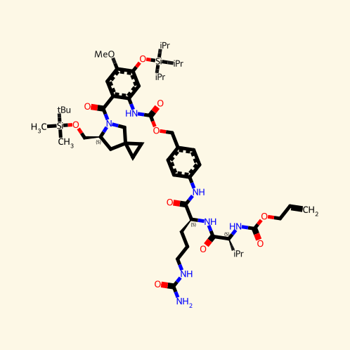 C=CCOC(=O)N[C@H](C(=O)N[C@@H](CCCNC(N)=O)C(=O)Nc1ccc(COC(=O)Nc2cc(O[Si](C(C)C)(C(C)C)C(C)C)c(OC)cc2C(=O)N2CC3(CC3)C[C@H]2CO[Si](C)(C)C(C)(C)C)cc1)C(C)C